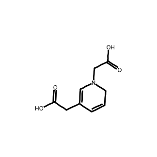 O=C(O)CC1=CN(CC(=O)O)CC=C1